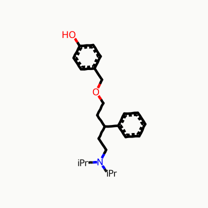 CC(C)N(CCC(CCOCc1ccc(O)cc1)c1ccccc1)C(C)C